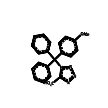 COc1ccc(C(c2ccccc2)(c2ccccc2)n2nnnc2C(=O)O)cc1